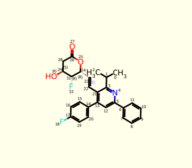 CC(C)c1nc(-c2ccccc2)cc(-c2ccc(F)cc2)c1/C=C/[C@H]1OC(=O)C[C@H](O)[C@H]1F